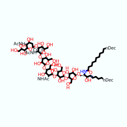 CCCCCCCCCCCCC/C=C/[C@@H](O)[C@H](CO[C@@H]1OC(CO)[C@@H](O[C@@H]2OC(CO)[C@H](O)[C@H](O[C@@H]3OC(CO)[C@@H](O[C@@H]4OC(CO)[C@H](O)[C@H](O[C@@H]5OC(CO)[C@H](O)[C@H](O[C@]6(C(=O)O)CC(O)[C@@H](NC(C)=O)C([C@H](O)[C@H](O)CO)O6)C5NC(C)=O)C4O)[C@H](O)C3NC(C)=O)C2O)[C@H](O)C1O)NC(=O)CCCCCCCCCCCCCCCCCCC